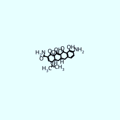 CN(C)[C@@H]1C=C(C(N)=O)C(=O)[C@@]2(O)C(O)=C3C(=O)c4c(ccc(N)c4O)C[C@H]3C[C@@H]12